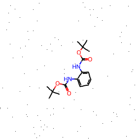 CC(C)(C)OC(=O)Nc1ccccc1NC(=O)OC(C)(C)C